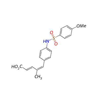 COc1ccc(S(=O)(=O)Nc2ccc(C=C(C)C=CC(=O)O)cc2)cc1